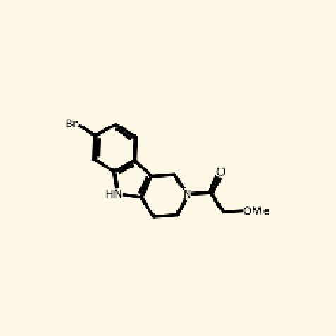 COCC(=O)N1CCc2[nH]c3cc(Br)ccc3c2C1